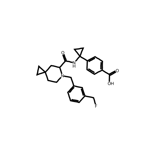 O=C(O)c1ccc(C2(NC(=O)C3CC4(CCN3Cc3cccc(CF)c3)CC4)CC2)cc1